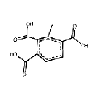 Cc1c(C(=O)O)ccc(C(=O)O)c1C(=O)O